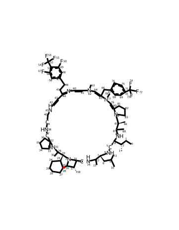 CC[C@H](C)[C@H]1CN[C@@H](CC(C)C)C(C)NCC2[C@H](C)C(C)N2[C@@H](C2CCCCC2)C(C)NC2(CCCC2)CNCCNC=CC(CCc2cc(F)c(C(F)(F)F)c(F)c2)=NC=CN(C)C=C(Cc2ccc(C(F)(F)F)cc2)N(C)C=C2CCCN2[C@@H](C)C(C)N1